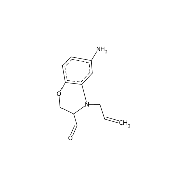 C=CCN1c2cc(N)ccc2OCC1C=O